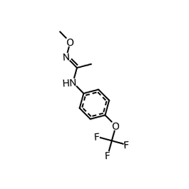 CO/N=C(\C)Nc1ccc(OC(F)(F)F)cc1